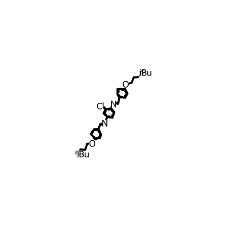 CC[C@@H](C)CCCOc1ccc(C=Nc2ccc(N=Cc3ccc(OCCC[C@@H](C)CC)cc3)c(Cl)c2)cc1